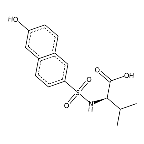 CC(C)[C@@H](NS(=O)(=O)c1ccc2cc(O)ccc2c1)C(=O)O